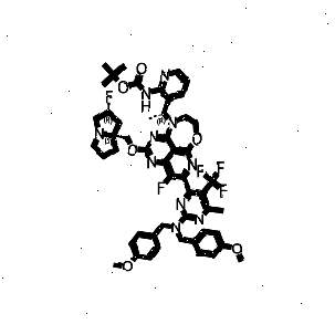 COc1ccc(CN(Cc2ccc(OC)cc2)c2nc(C)c(C(F)(F)F)c(-c3nc4c5c(nc(OC[C@@]67CCCN6C[C@H](F)C7)nc5c3F)N([C@H](C)c3cccnc3NC(=O)OC(C)(C)C)CCO4)n2)cc1